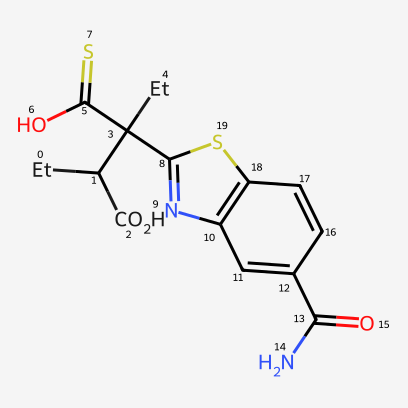 CCC(C(=O)O)C(CC)(C(O)=S)c1nc2cc(C(N)=O)ccc2s1